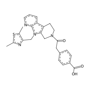 Cc1nc(Cn2c3c(c4cccnc42)CCN(C(=O)Cc2ccc(C(=O)O)cc2)C3)c(C)s1